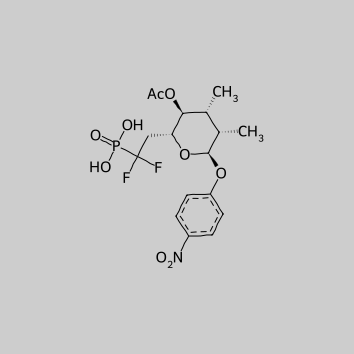 CC(=O)O[C@H]1[C@H](C)[C@H](C)[C@@H](Oc2ccc([N+](=O)[O-])cc2)O[C@@H]1CC(F)(F)P(=O)(O)O